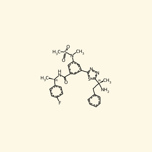 C[C@@H](NC(=O)c1cc(-c2nnc([C@](C)(N)Cc3ccccc3)s2)cc(N(C)S(C)(=O)=O)c1)c1ccc(F)cc1